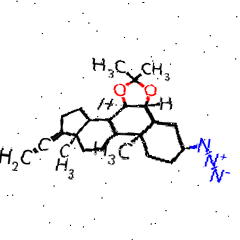 C=C=C1CCC2C3C(CC[C@]12C)[C@@]1(C)CC[C@H](N=[N+]=[N-])CC1[C@H]1OC(C)(C)O[C@H]31